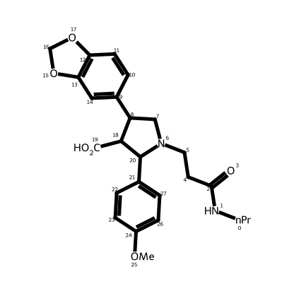 CCCNC(=O)CCN1CC(c2ccc3c(c2)OCO3)C(C(=O)O)C1c1ccc(OC)cc1